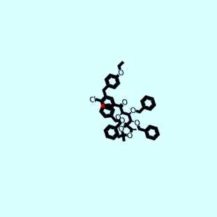 CCOc1ccc(Cc2cc(C(=O)[C@H](OCc3ccccc3)[C@@H](OCc3ccccc3)[C@H](OCc3ccccc3)C3(OCc4ccccc4)OC(C)(C)O[C@@H]3C)ccc2Cl)cc1